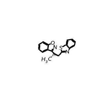 C[C@@H](Cc1nc2ccccc2s1)c1noc2ccccc12